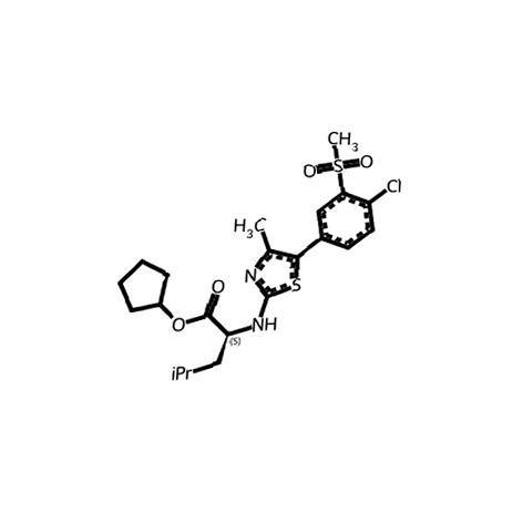 Cc1nc(N[C@@H](CC(C)C)C(=O)OC2CCCC2)sc1-c1ccc(Cl)c(S(C)(=O)=O)c1